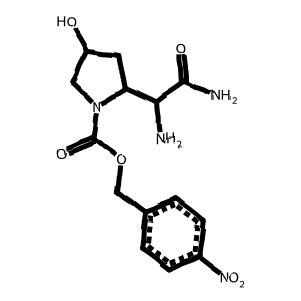 NC(=O)C(N)C1CC(O)CN1C(=O)OCc1ccc([N+](=O)[O-])cc1